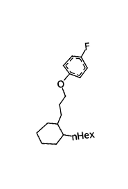 CCCCCCC1CCCCC1CCCOc1ccc(F)cc1